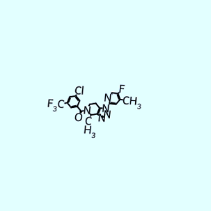 Cc1cc(-n2nnc3c2CCN(C(=O)c2cc(Cl)cc(C(F)(F)F)c2)[C@@H]3C)ncc1F